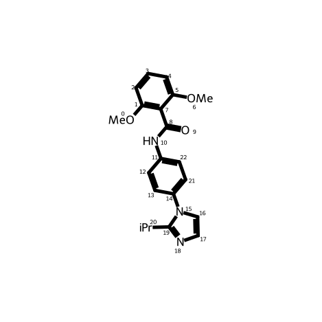 COc1cccc(OC)c1C(=O)Nc1ccc(-n2ccnc2C(C)C)cc1